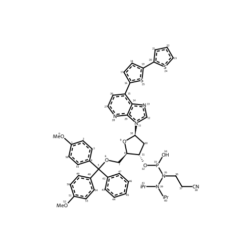 COc1ccc(C(OC[C@H]2O[C@@H](n3cnc4c(-c5ccc(-c6cccs6)s5)ccnc43)C[C@@H]2OP(O)N(CCC#N)N(C(C)C)C(C)C)(c2ccccc2)c2ccc(OC)cc2)cc1